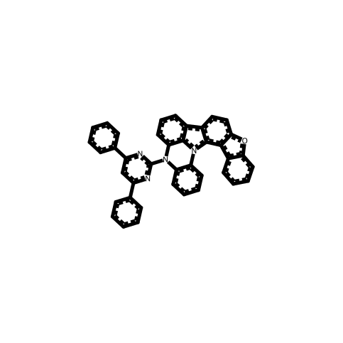 c1ccc(-c2cc(-c3ccccc3)nc(N3c4ccccc4-n4c5c3cccc5c3ccc5oc6ccccc6c5c34)n2)cc1